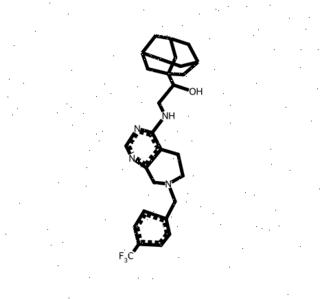 OC(CNc1ncnc2c1CCN(Cc1ccc(C(F)(F)F)cc1)C2)C12CC3CC(CC(C3)C1)C2